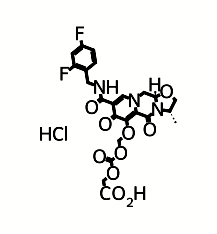 C[C@H]1CO[C@@H]2Cn3cc(C(=O)NCc4ccc(F)cc4F)c(=O)c(OCOC(=O)OCC(=O)O)c3C(=O)N12.Cl